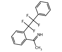 CC(=N)c1ccccc1C(F)(F)C(F)(F)c1ccccc1